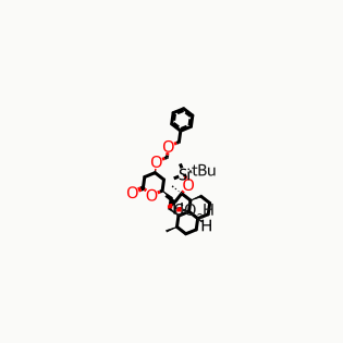 C[C@@H]1CC[C@@H]2CCC[C@H]([C@](C)(O[Si](C)(C)C(C)(C)C)C(C)(C)C(=O)O)[C@H]2[C@@H]1CC[C@@H]1C[C@@H](OCOCc2ccccc2)CC(=O)O1